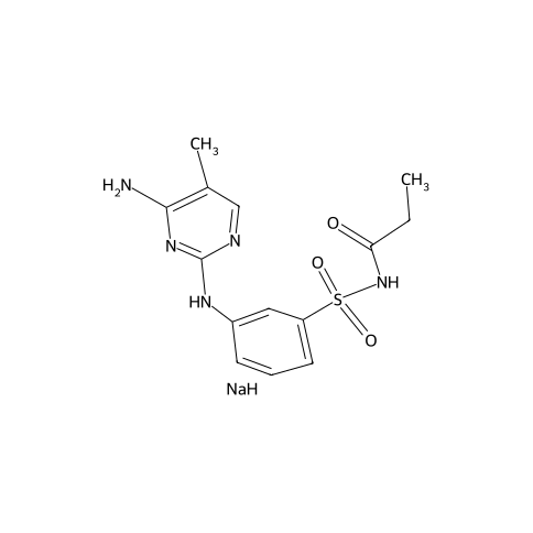 CCC(=O)NS(=O)(=O)c1cccc(Nc2ncc(C)c(N)n2)c1.[NaH]